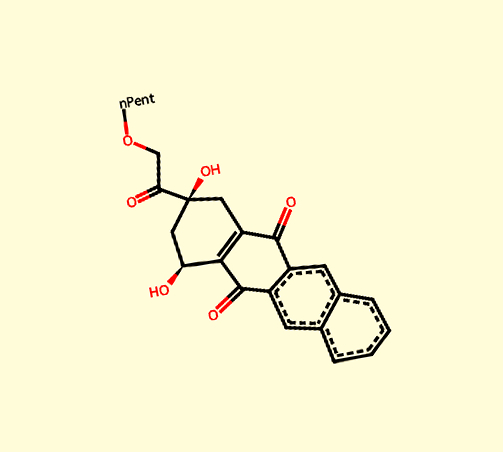 CCCCCOCC(=O)[C@]1(O)CC2=C(C(=O)c3cc4ccccc4cc3C2=O)[C@@H](O)C1